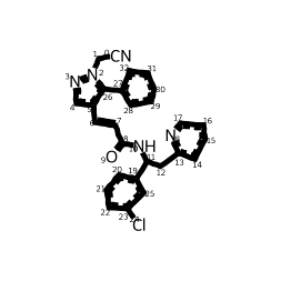 N#CCn1ncc(C=CC(=O)NC(Cc2ccccn2)c2cccc(Cl)c2)c1-c1ccccc1